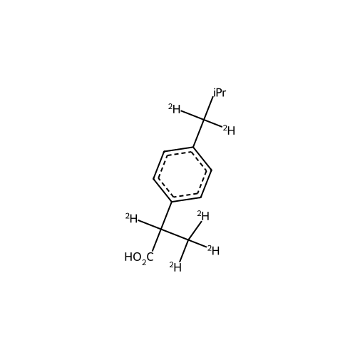 [2H]C([2H])(c1ccc(C([2H])(C(=O)O)C([2H])([2H])[2H])cc1)C(C)C